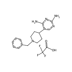 Nc1ncc(C2CCN(Cc3ccccc3)CC2)c(N)n1.O=C(O)C(F)(F)F